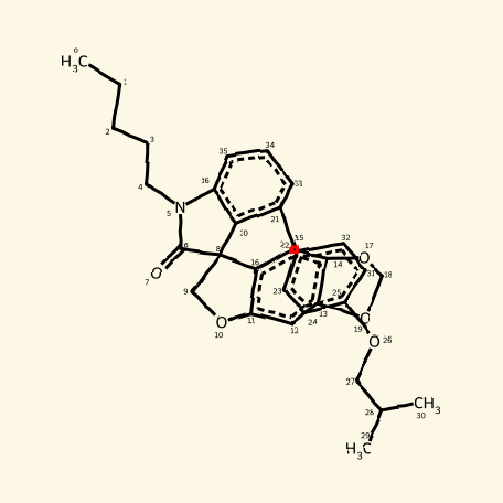 CCCCCN1C(=O)C2(COc3cc4c(cc32)OCO4)c2c(-c3ccc(OCC(C)C)cc3)cccc21